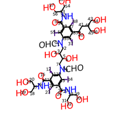 O=CN(CC(O)C(O)CN(C=O)c1c(I)c(C(=O)NC(CO)CO)c(I)c(C(=O)NC(CO)CO)c1I)c1c(I)c(C(=O)CC(CO)CO)c(I)c(C(=O)NC(CO)CO)c1I